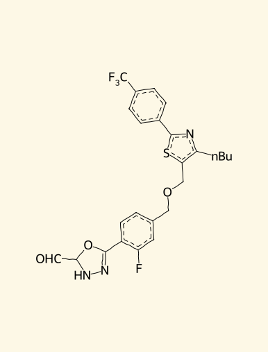 CCCCc1nc(-c2ccc(C(F)(F)F)cc2)sc1COCc1ccc(C2=NNC(C=O)O2)c(F)c1